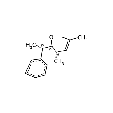 CC1=C[C@H](C)[C@@H]([C@@H](C)c2ccccc2)OC1